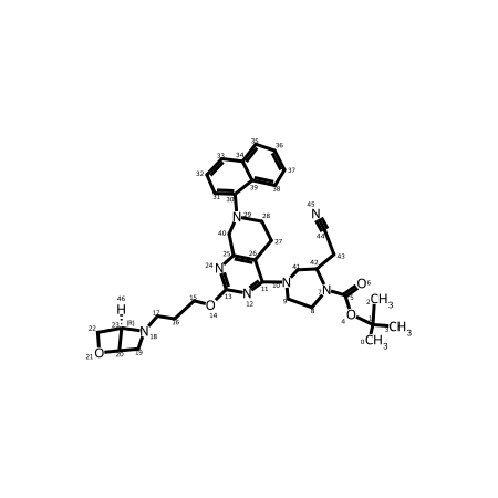 CC(C)(C)OC(=O)N1CCN(c2nc(OCCCN3CC4OC[C@H]43)nc3c2CCN(c2cccc4ccccc24)C3)CC1CC#N